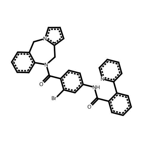 O=C(Nc1ccc(C(=O)N2Cc3cccn3Cc3ccccc32)c(Br)c1)c1ccccc1-c1ccccn1